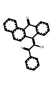 N#C/C(C(=O)c1ccccc1)=C1\c2ccccc2C(=O)c2c1ccc1ccccc21